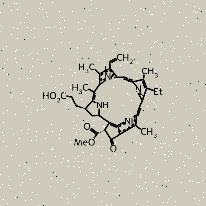 C=Cc1c2[nH]c(c1C)/C(C)=C1\NC(C[C@H]1CCC(=O)O)C1=c3[nH]/c(c(C)c3C(=O)[C@@H]1C(=O)OC)=C\C1=NC(=C\2)/C(C)=C1CC